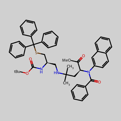 COC(=O)[C@H](CC(C)(C)NC[C@H](CSC(c1ccccc1)(c1ccccc1)c1ccccc1)NC(=O)OC(C)(C)C)N(C(=O)c1ccccc1)c1ccc2ccccc2c1